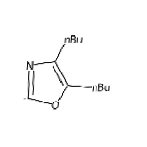 CCCCc1n[c]oc1CCCC